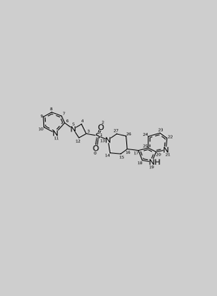 O=S(=O)(C1CN(c2ccccn2)C1)N1CCC(c2c[nH]c3ncccc23)CC1